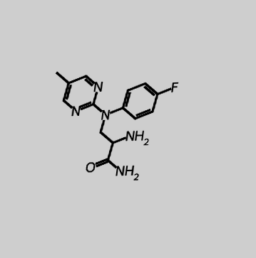 Cc1cnc(N(CC(N)C(N)=O)c2ccc(F)cc2)nc1